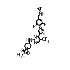 CS(=O)(=O)N1CCC(Nc2ncc(C(F)(F)F)c(-c3cn(-c4c(F)cc(CNC5CC5)cc4F)cn3)n2)CC1